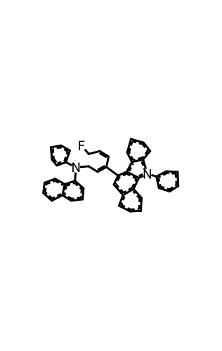 FC/C=C\C(=C/CN(c1ccccc1)c1cccc2ccccc12)c1cc2ccccc2c2c1c1ccccc1n2-c1ccccc1